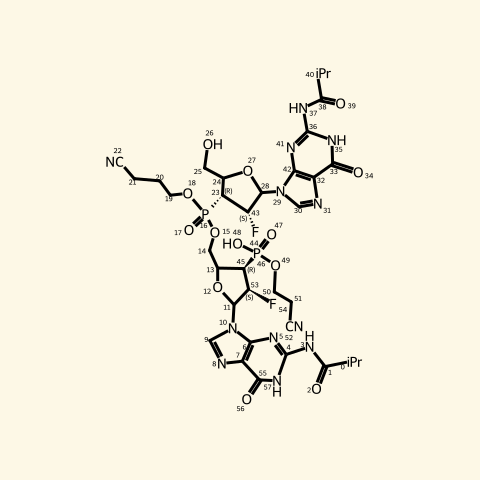 CC(C)C(=O)Nc1nc2c(ncn2C2OC(COP(=O)(OCCCC#N)[C@@H]3C(CO)OC(n4cnc5c(=O)[nH]c(NC(=O)C(C)C)nc54)[C@@H]3F)[C@@H](P(=O)(O)OCCC#N)[C@H]2F)c(=O)[nH]1